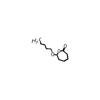 CCCCCOC1CCCCC(=O)O1